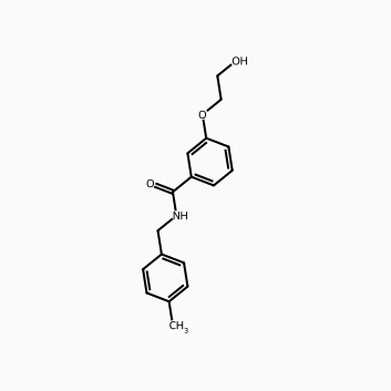 Cc1ccc(CNC(=O)c2cccc(OCCO)c2)cc1